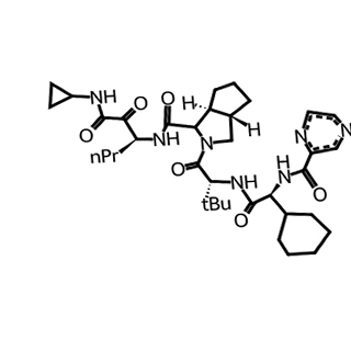 CCC[C@H](NC(=O)C1[C@H]2CCC[C@@H]2CN1C(=O)[C@H](NC(=O)[C@@H](NC(=O)c1cnccn1)C1CCCCC1)C(C)(C)C)C(=O)C(=O)NC1CC1